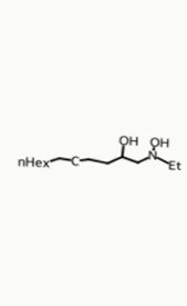 CCCCCCCCCCC(O)CN(O)CC